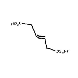 O=C(O)CC=CCC(=O)O